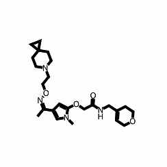 CC(=NOCCN1CCC2(CC1)CC2)c1cc(OCC(=O)NCC2=CCOCC2)n(C)c1